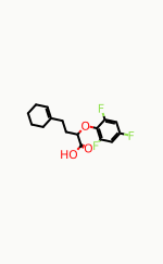 O=C(O)C(CCC1=CCCCC1)Oc1c(F)cc(F)cc1F